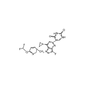 CC1([C@@H]2C[C@H]2c2cc(-c3c[nH]c(=O)[nH]c3=O)nn3c(F)cnc23)C=CC(OC(F)F)=NC1